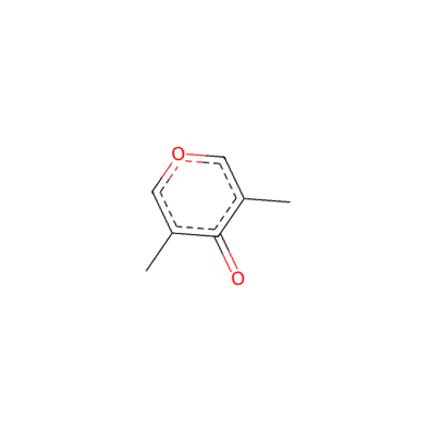 Cc1cocc(C)c1=O